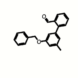 Cc1cc(OCc2ccccc2)cc(-c2ccccc2C=O)c1